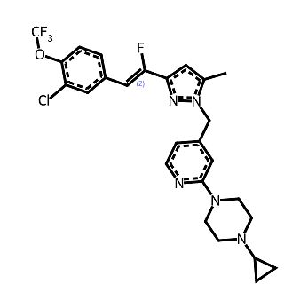 Cc1cc(/C(F)=C/c2ccc(OC(F)(F)F)c(Cl)c2)nn1Cc1ccnc(N2CCN(C3CC3)CC2)c1